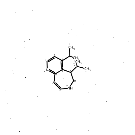 CC(C)c1ccnc2c1C(C(C)C)CNC=C2